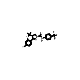 CC1(C)Sc2cc(Cl)ccc2C2=NN(C(=O)Nc3ccc(C(F)(F)F)cc3)CC21